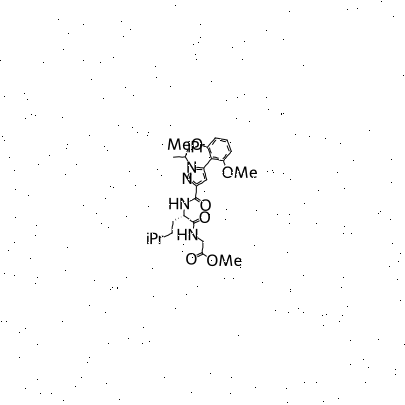 COC(=O)CNC(=O)[C@H](CCC(C)C)NC(=O)c1cc(-c2c(OC)cccc2OC)n(C(C)C(C)C)n1